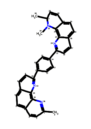 Cc1ccc2ccc3ccc(-c4ccc(-c5ccc6ccc7c(c6n5)N(C)C(C)C=C7)cc4)nc3c2n1